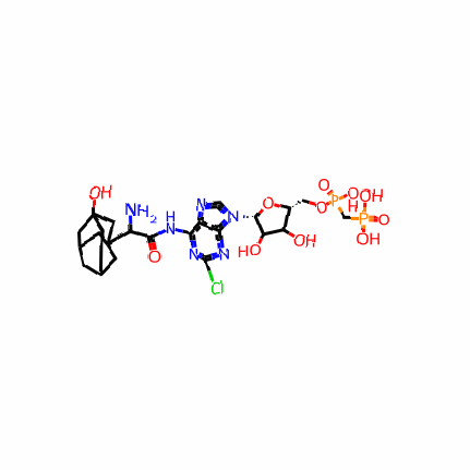 NC(C(=O)Nc1nc(Cl)nc2c1ncn2[C@@H]1O[C@H](COP(=O)(O)CP(=O)(O)O)C(O)C1O)C12CC3CC(CC(O)(C3)C1)C2